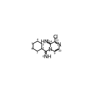 N=C(C1CCCCC1)n1ccnc(Cl)c1=N